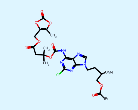 COC(CCn1cnc2c(NC(=O)OC(C)(C)CC(=O)OCc3oc(=O)oc3C)nc(Cl)nc21)COC(=O)C(C)C